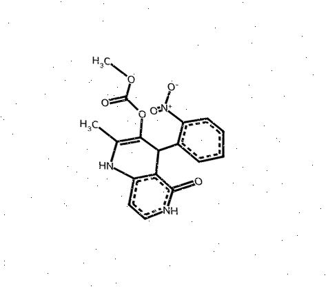 COC(=O)OC1=C(C)Nc2cc[nH]c(=O)c2C1c1ccccc1[N+](=O)[O-]